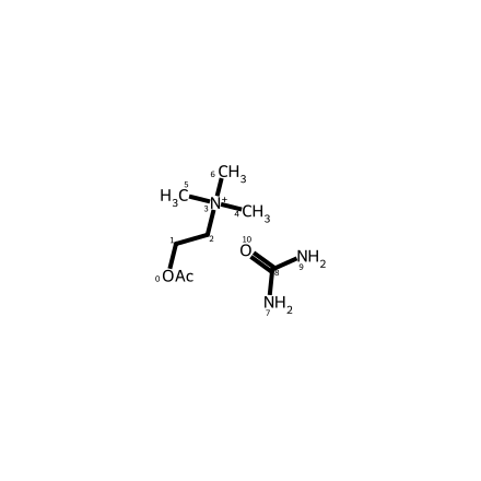 CC(=O)OCC[N+](C)(C)C.NC(N)=O